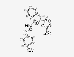 CCCC1=NOC(C)(CNc2ccccc2C(=O)NOCc2ccc(C#N)cc2)C1